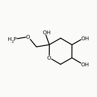 OC1COC(O)(COP)CC1O